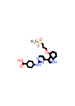 CS(=O)(=O)CCCOc1cccc2[nH]cc(-c3ccnc(NC4CCC(C(=O)O)CC4)n3)c12